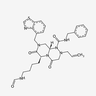 C=CCN1CC(=O)N2[C@@H](CCCCNC=O)C(=O)N(Cc3cccc4scnc34)C[C@@H]2N1C(=O)NCc1ccccc1